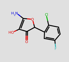 NC1=C(O)C(=O)C(c2cc(F)ccc2Cl)O1